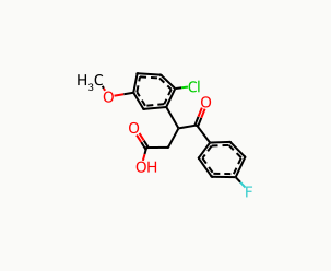 COc1ccc(Cl)c(C(CC(=O)O)C(=O)c2ccc(F)cc2)c1